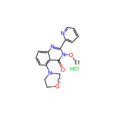 CCOn1c(-c2ccccn2)nc2cccc(N3CCOCC3)c2c1=O.Cl